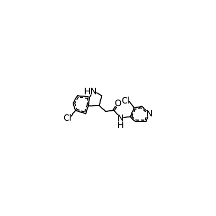 O=C(CC1CNc2ccc(Cl)cc21)Nc1ccncc1Cl